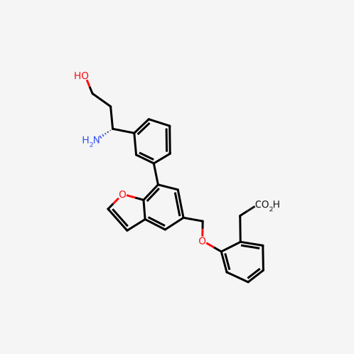 N[C@H](CCO)c1cccc(-c2cc(COc3ccccc3CC(=O)O)cc3ccoc23)c1